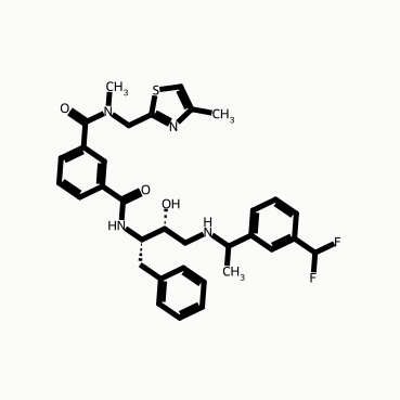 Cc1csc(CN(C)C(=O)c2cccc(C(=O)N[C@@H](Cc3ccccc3)[C@H](O)CNC(C)c3cccc(C(F)F)c3)c2)n1